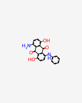 Nc1ccc(O)c2c1C(=O)c1c(O)ccc(Nc3ccccc3)c1C2=O